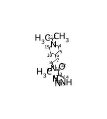 CC(C)N1CCC(CCN(C)C(=O)c2c[nH]nn2)CC1